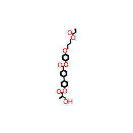 C=CC(=O)OCCCCOc1ccc(OC(=O)c2ccc(-c3ccc(OC(=O)C(=C)CO)cc3)cc2)cc1